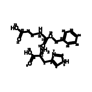 NC(Cc1c[nH]cn1)C(=O)O.O=C(O)CCNC(=O)OCc1ccccc1